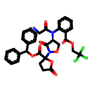 NCC(=O)N(c1ccccc1C(=O)OCC(Cl)(Cl)Cl)[C@H]1CON(C2(C(=O)OC(c3ccccc3)c3ccccc3)CCC(=O)O2)C1=O